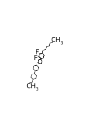 CCCCCCCc1ccc(OC[C@H]2CC[C@H]([C@H]3CC[C@H](CCC)CC3)CC2)c(F)c1F